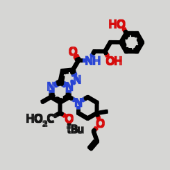 C=CCOC1(C)CCN(c2c(C(OC(C)(C)C)C(=O)O)c(C)nc3cc(C(=O)NCC(O)Cc4ccccc4O)nn23)CC1